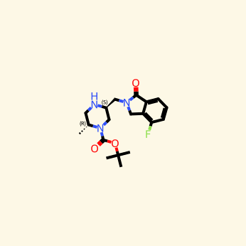 C[C@@H]1CN[C@@H](CN2Cc3c(F)cccc3C2=O)CN1C(=O)OC(C)(C)C